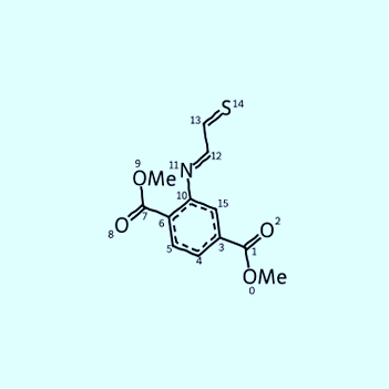 COC(=O)c1ccc(C(=O)OC)c(N=CC=S)c1